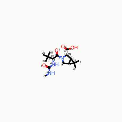 CNC(=O)N[C@H](C(=O)N1CC2C([C@H]1C(=O)O)C2(C)C)C(C)(C)C